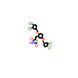 O=C1NC(=O)/C(=C/c2cc(OCc3ccc(Cl)c(Cl)c3)ccc2OCc2ccc(Cl)c(Cl)c2)S1